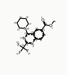 COC(=O)c1ccc2nc(C(F)(F)F)nc(N3CCCCC3)c2c1